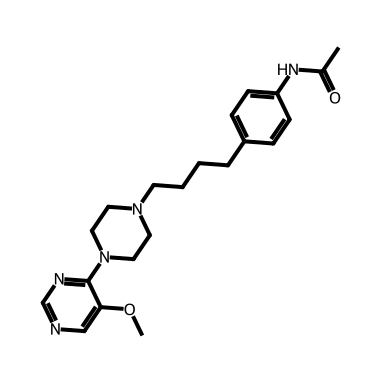 COc1cncnc1N1CCN(CCCCc2ccc(NC(C)=O)cc2)CC1